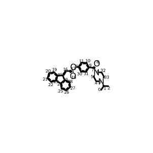 CC(C)N1CCN(C(=O)c2ccc(OC(=O)C=C3c4ccccc4-c4ccccc43)cc2)CC1